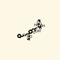 CC(C)(C)OC(=O)N[C@@H](CCC(Cc1ccc(N(CCOCc2ccccc2)C(=O)OC(C)(C)C)cc1)C(=O)O)C(=O)O